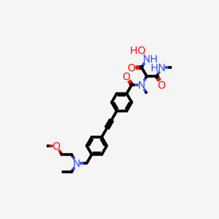 CCN(CCOC)Cc1ccc(C#Cc2ccc(C(=O)N(C)C(C(=O)NC)C(=O)NO)cc2)cc1